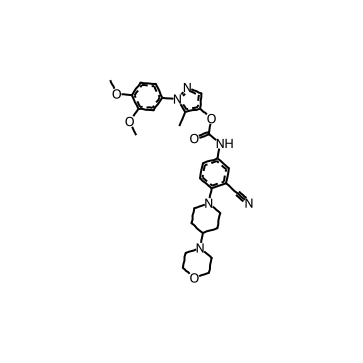 COc1ccc(-n2ncc(OC(=O)Nc3ccc(N4CCC(N5CCOCC5)CC4)c(C#N)c3)c2C)cc1OC